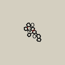 c1ccc(N(c2ccccc2-c2cccc3c2oc2c4ccccc4ccc32)c2cccc3oc4ccccc4c23)cc1